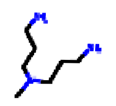 C[N+](CCCN)CCCN